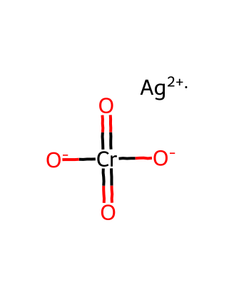 [Ag+2].[O]=[Cr](=[O])([O-])[O-]